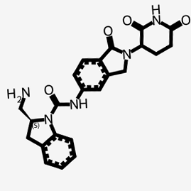 NC[C@@H]1Cc2ccccc2N1C(=O)Nc1ccc2c(c1)CN(C1CCC(=O)NC1=O)C2=O